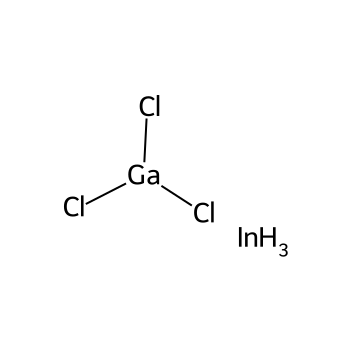 [Cl][Ga]([Cl])[Cl].[InH3]